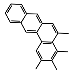 Cc1[c]c2c(c(C)cc3cc4ccccc4cc32)c(C)c1C